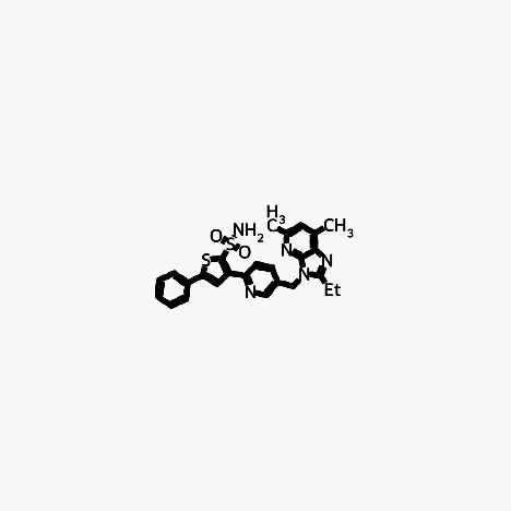 CCc1nc2c(C)cc(C)nc2n1Cc1ccc(-c2cc(-c3ccccc3)sc2S(N)(=O)=O)nc1